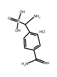 Cl.N=C(N)c1ccc(C(N)P(=O)(O)O)cc1